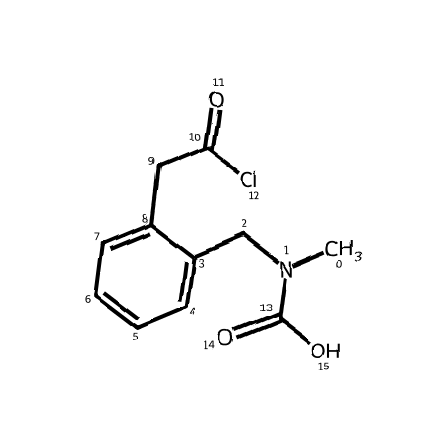 CN(Cc1ccccc1CC(=O)Cl)C(=O)O